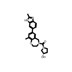 Cc1nc2ccc(-c3cc(C)c4c(c3)CN(C(=O)N3CC[C@H](O)C3)CCO4)cc2[nH]1